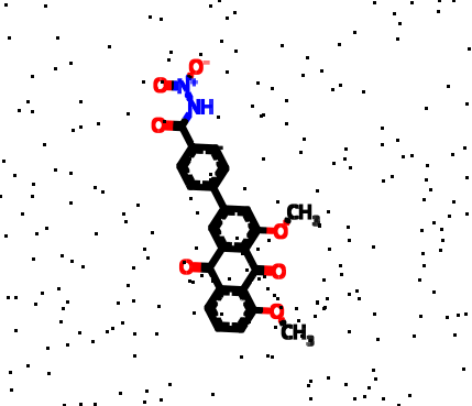 COc1cccc2c1C(=O)c1c(OC)cc(-c3c[c]c(C(=O)N[N+](=O)[O-])cc3)cc1C2=O